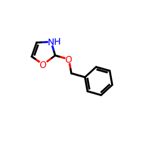 C1=COC(OCc2ccccc2)N1